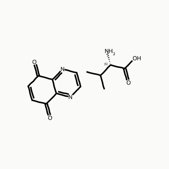 CC(C)[C@H](N)C(=O)O.O=C1C=CC(=O)c2nccnc21